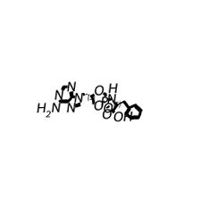 Nc1ncnc2c1ncn2C[C@H]1COP(=O)(N[C@@H](Cc2ccccc2)C(=O)O)CO1